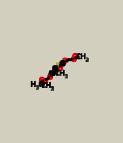 C=CC(=O)OCCCCOc1ccc(C(=O)Sc2ccc3c(c2)C(C)c2cc(OCCCOC(=O)C(=C)C)ccc2-3)cc1